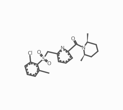 Cc1cccc(Cl)c1S(=O)(=O)Cc1cccc(C(=O)N2[C@H](C)CCC[C@@H]2C)n1